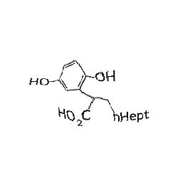 CCCCCCCCC(C(=O)O)c1cc(O)ccc1O